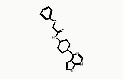 O=C(COc1ccccc1)NC1CCN(c2ncnc3[nH]ccc23)CC1